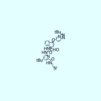 CN(C)CCNC(=O)c1cc(C(C)(C)C)cc(NC(=O)N[C@@]2(C=O)C=C[C@@H](Oc3ccc4nnc(C(C)(C)C)n4c3)c3ccccc32)n1